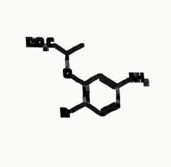 CCOC(=O)C(C)Oc1cc(N)ccc1Br